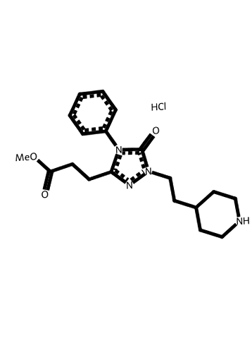 COC(=O)CCc1nn(CCC2CCNCC2)c(=O)n1-c1ccccc1.Cl